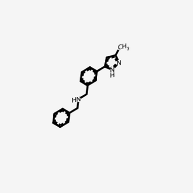 Cc1cc(-c2cccc(CNCc3ccccc3)c2)[nH]n1